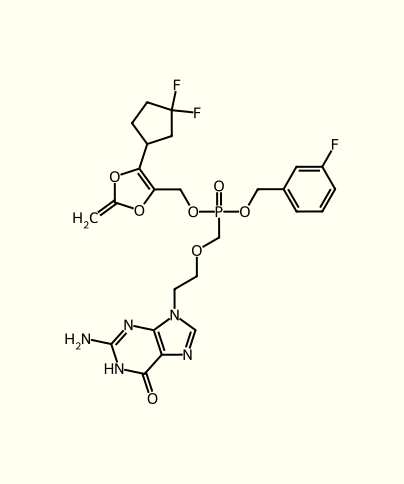 C=C1OC(COP(=O)(COCCn2cnc3c(=O)[nH]c(N)nc32)OCc2cccc(F)c2)=C(C2CCC(F)(F)C2)O1